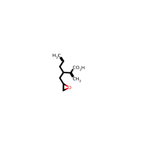 C=CCC(CC1CO1)C(=C)C(=O)O